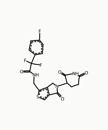 O=C1CCC(N2Cc3c(csc3CNC(=O)C(F)(F)c3ccc(F)cc3)C2=O)C(=O)N1